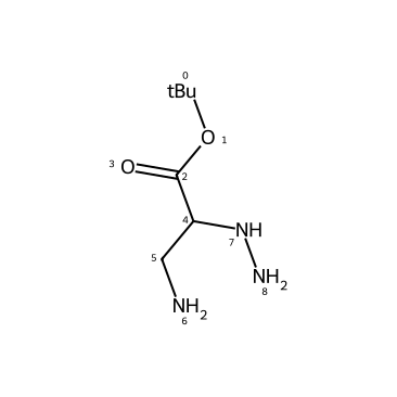 CC(C)(C)OC(=O)C(CN)NN